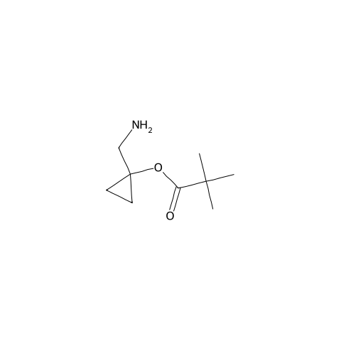 CC(C)(C)C(=O)OC1(CN)CC1